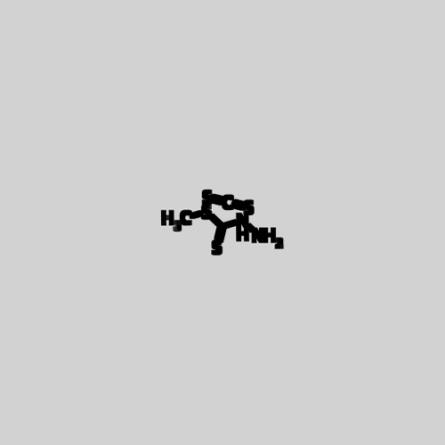 CSC(=S)NN.S=C=S